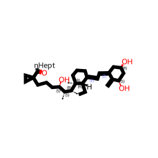 C=C1/C(=C\C=C2/CCC[C@]3(C)[C@@H]([C@H](C)[C@@H](O)CCCC4(C(=O)CCCCCCC)CC4)CC[C@@H]23)C[C@@H](O)C[C@@H]1O